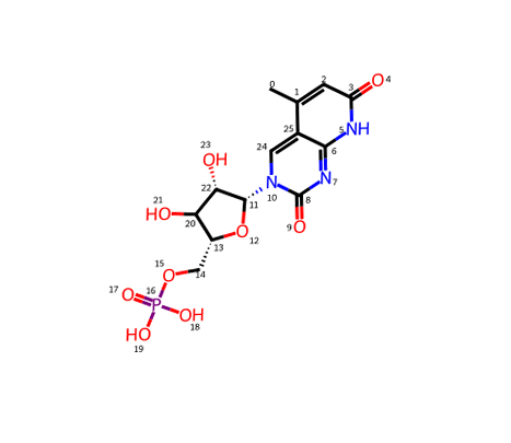 Cc1cc(=O)[nH]c2nc(=O)n([C@@H]3O[C@H](COP(=O)(O)O)C(O)[C@@H]3O)cc12